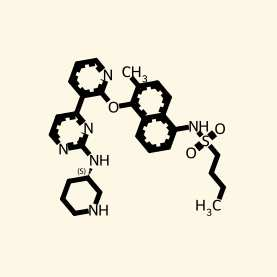 CCCCS(=O)(=O)Nc1cccc2c(Oc3ncccc3-c3ccnc(N[C@H]4CCCNC4)n3)c(C)ccc12